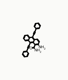 NC(=O)c1c(N)ccc2c(C#Cc3ccccc3)c3ccccc3c(C#Cc3ccccc3)c12